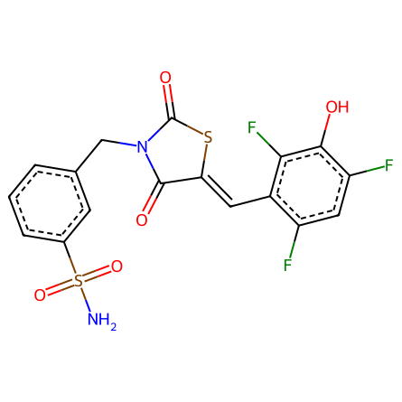 NS(=O)(=O)c1cccc(CN2C(=O)S/C(=C\c3c(F)cc(F)c(O)c3F)C2=O)c1